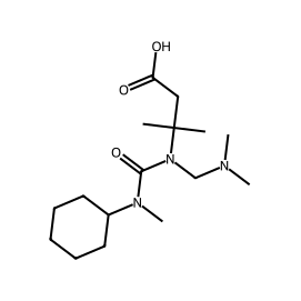 CN(C)CN(C(=O)N(C)C1CCCCC1)C(C)(C)CC(=O)O